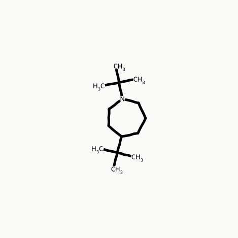 CC(C)(C)C1CCCN(C(C)(C)C)CC1